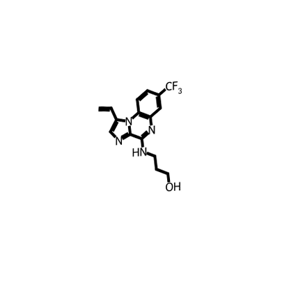 C=Cc1cnc2c(NCCCO)nc3cc(C(F)(F)F)ccc3n12